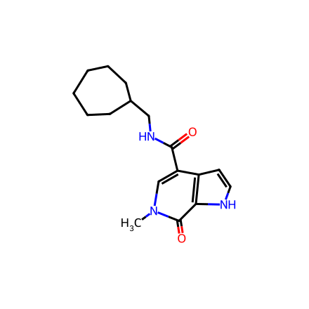 Cn1cc(C(=O)NCC2CCCCCC2)c2cc[nH]c2c1=O